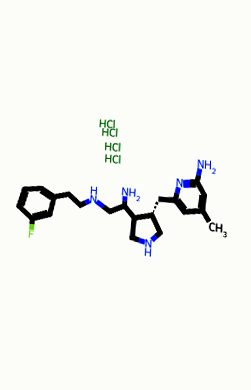 Cc1cc(N)nc(C[C@@H]2CNCC2C(N)CNCCc2cccc(F)c2)c1.Cl.Cl.Cl.Cl